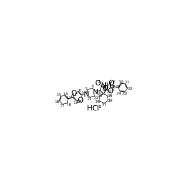 Cl.NC(=O)C(N1CCN(C2=COC(C3=CC=CCC3)=CO2)CC1)C1(C(=O)OC(=O)c2ccccc2)CCCCC1